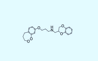 c1ccc2c(c1)OCC(CNCCCOc1ccc3c(c1)OOCCC3)O2